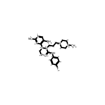 Bc1cnc(C#N)nc1N(CC(C)C)N(CCCN1CCN(C)CC1)C(=O)Nc1ccc(F)cc1